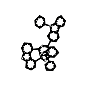 c1ccc(-c2nc(-c3ccc4c5ccccc5n(-c5ccccc5)c4c3)nc(-c3cccc4sc5cccc(-c6nc7ccccc7s6)c5c34)n2)cc1